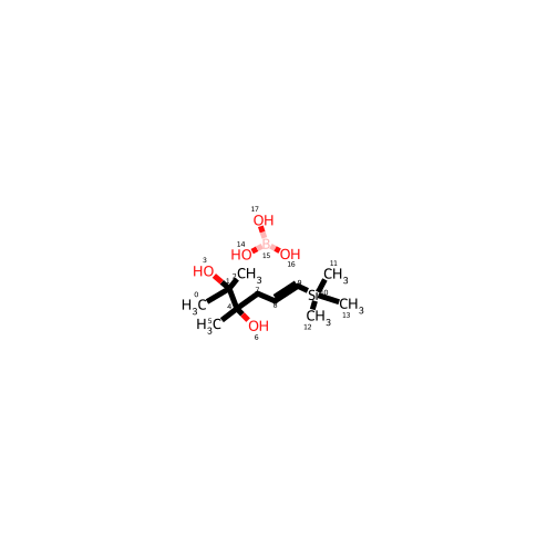 CC(C)(O)C(C)(O)CC=C[Si](C)(C)C.OB(O)O